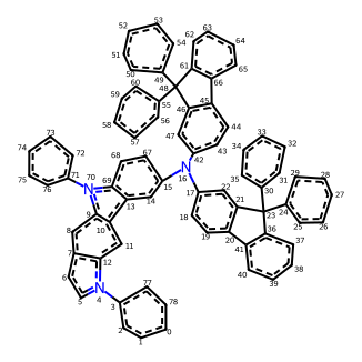 c1ccc(-n2ccc3cc4c(cc32)c2cc(N(c3ccc5c(c3)C(c3ccccc3)(c3ccccc3)c3ccccc3-5)c3ccc5c(c3)C(c3ccccc3)(c3ccccc3)c3ccccc3-5)ccc2n4-c2ccccc2)cc1